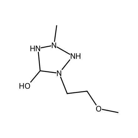 COCCN1NN(C)NC1O